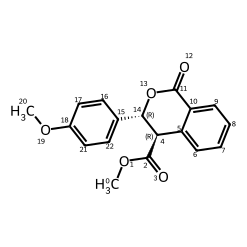 COC(=O)[C@@H]1c2ccccc2C(=O)O[C@H]1c1ccc(OC)cc1